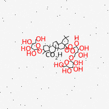 CC1(C)CCC2(C(=O)OC3OC(COC4OC(CO)C(O)C(O)C4O)C(O)C(O)C3O)CCC3(C)C(=CCC4C5(C)CCC(OC6OC(CO)C(O)C(O)C6O)C(C)(C(=O)O)C5CCC43C)C2C1